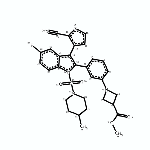 COC(=O)C1CN(c2cccc(-c3c(-c4ccsc4C#N)c4cc(F)ccc4n3S(=O)(=O)N3CCC(C)CC3)c2)C1